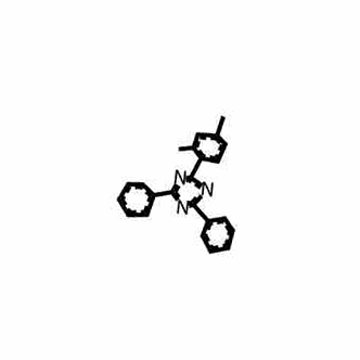 Cc1ccc(-c2nc(-c3ccccc3)nc(-c3ccccc3)n2)c(C)c1